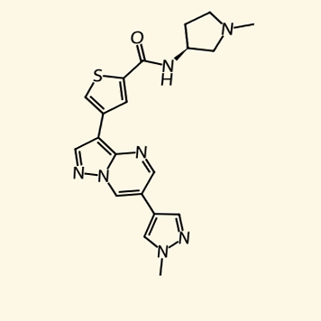 CN1CC[C@H](NC(=O)c2cc(-c3cnn4cc(-c5cnn(C)c5)cnc34)cs2)C1